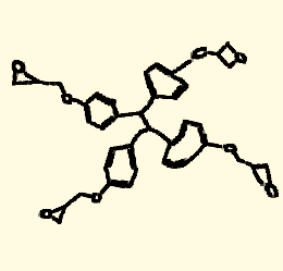 c1cc(C(c2ccc(OCC3CO3)cc2)C(c2ccc(OCC3CO3)cc2)c2ccc(OC3COC3)cc2)ccc1OCC1CO1